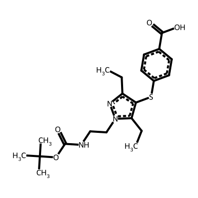 CCc1nn(CCNC(=O)OC(C)(C)C)c(CC)c1Sc1ccc(C(=O)O)cc1